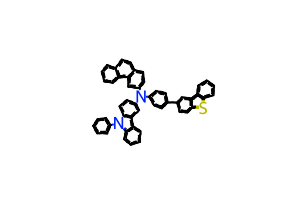 c1ccc(-n2c3ccccc3c3cc(N(c4ccc(-c5ccc6sc7ccccc7c6c5)cc4)c4ccc5ccc6ccccc6c5c4)ccc32)cc1